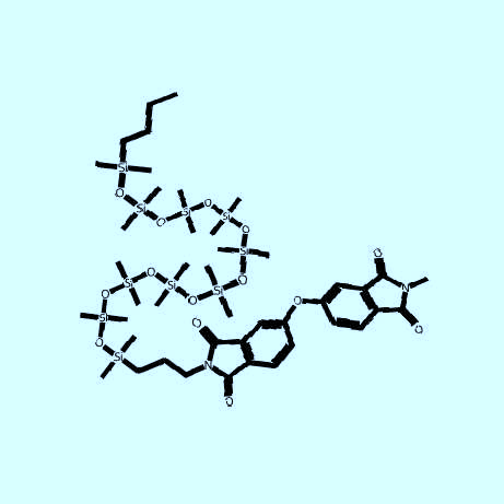 CCCC[Si](C)(C)O[Si](C)(C)O[Si](C)(C)O[Si](C)(C)O[Si](C)(C)O[Si](C)(C)O[Si](C)(C)O[Si](C)(C)O[Si](C)(C)O[Si](C)(C)CCCN1C(=O)c2ccc(Oc3ccc4c(c3)C(=O)N(C)C4=O)cc2C1=O